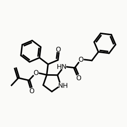 C=C(C)C(=O)OC1(C(C=O)c2ccccc2)CCNC1NC(=O)OCc1ccccc1